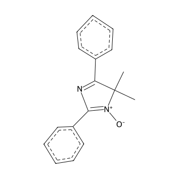 CC1(C)C(c2ccccc2)=NC(c2ccccc2)=[N+]1[O-]